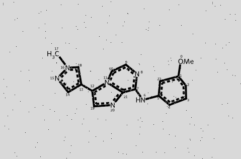 COc1cccc(Nc2nccn3c(-c4cnn(C)c4)cnc23)c1